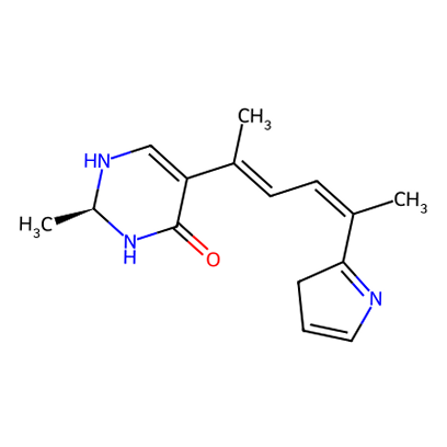 C/C(=C/C=C(\C)C1=CN[C@H](C)NC1=O)C1=NC=CC1